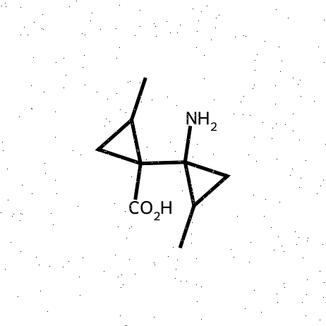 CC1CC1(N)C1(C(=O)O)CC1C